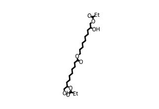 CCC(=O)OCC(O)CCCCCCCCOC(=O)CCCCCCCC(CO)OC(=O)CC